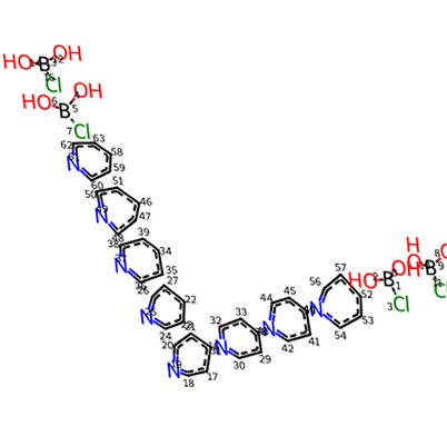 OB(O)Cl.OB(O)Cl.OB(O)Cl.OB(O)Cl.c1ccncc1.c1ccncc1.c1ccncc1.c1ccncc1.c1ccncc1.c1ccncc1.c1ccncc1.c1ccncc1